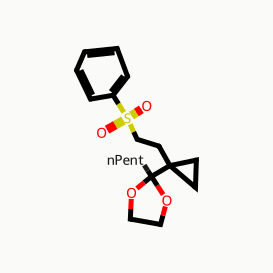 CCCCCC1(C2(CCS(=O)(=O)c3ccccc3)CC2)OCCO1